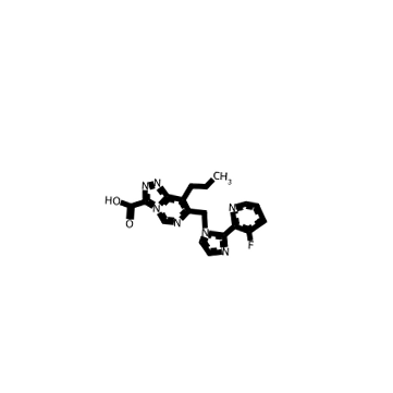 CCCc1c(Cn2ccnc2-c2ncccc2F)ncn2c(C(=O)O)nnc12